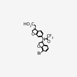 O=C(O)C[C@@H]1COc2cc(N(C(=O)C(F)(F)F)[C@@H]3COc4c(Br)cccc43)ccc21